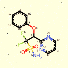 NS(=O)(=O)C(F)(F)C(Oc1ccccc1)c1ncccn1